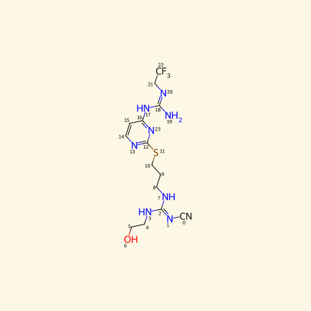 N#C/N=C(/NCCO)NCCCSc1nccc(N/C(N)=N\CC(F)(F)F)n1